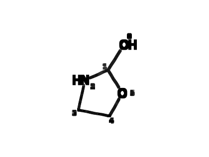 OC1NCCO1